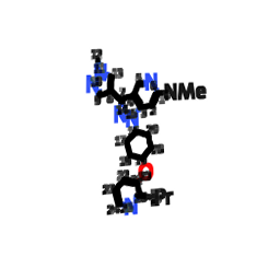 CNc1cc2c(cn1)c(-c1cnn(C)c1)nn2[C@H]1CC[C@@H](Oc2cccnc2C(C)C)CC1